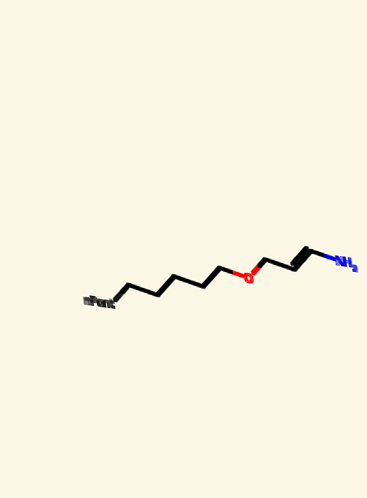 CCCCCCCCCCOCC=CN